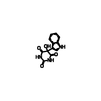 O=C1NC(=O)C(O)(c2c[nH]c3ccccc23)C(=O)N1